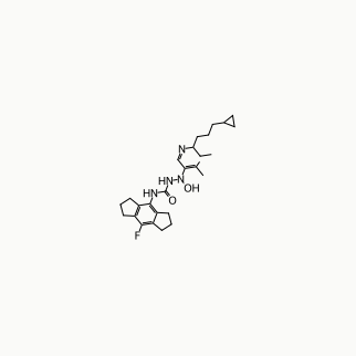 CCC(CCCC1CC1)/N=C\C(=C(C)C)N(O)NC(=O)Nc1c2c(c(F)c3c1CCC3)CCC2